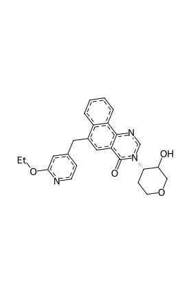 CCOc1cc(Cc2cc3c(=O)n([C@H]4CCOCC4O)cnc3c3ccccc23)ccn1